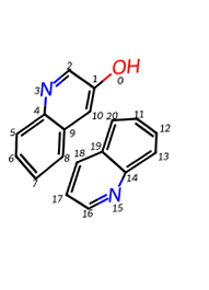 Oc1cnc2ccccc2c1.c1ccc2ncccc2c1